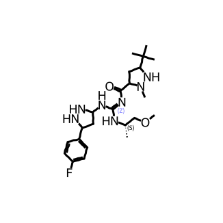 COC[C@H](C)N/C(=N/C(=O)C1CC(C(C)(C)C)NN1C)NC1CC(c2ccc(F)cc2)NN1